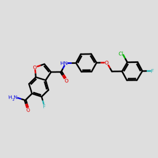 NC(=O)c1cc2occ(C(=O)Nc3ccc(OCc4ccc(F)cc4Cl)cc3)c2cc1F